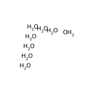 O.O.O.O.O.O.O.O